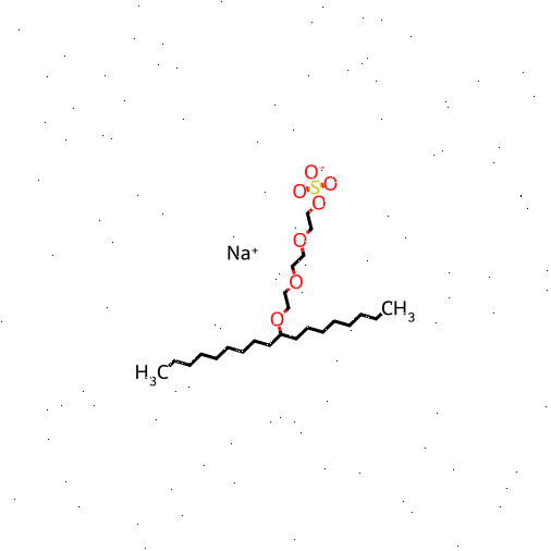 CCCCCCCCCC(CCCCCCCC)OCCOCCOCCOS(=O)(=O)[O-].[Na+]